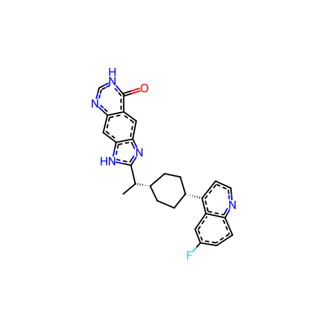 CC(c1nc2cc3c(=O)[nH]cnc3cc2[nH]1)[C@H]1CC[C@@H](c2ccnc3ccc(F)cc32)CC1